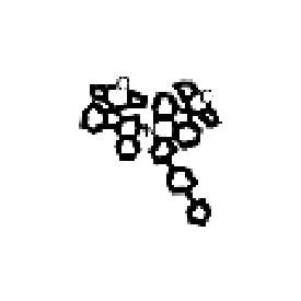 c1ccc(-c2ccc(-c3ccc(N(c4cccc5c4-c4ccccc4C54c5ccccc5Oc5ccccc54)c4cc5c(c6ccccc46)-c4ccccc4C54c5ccccc5Oc5ccccc54)cc3)cc2)cc1